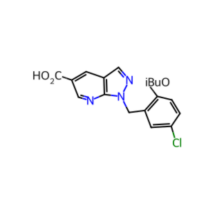 CC(C)COc1ccc(Cl)cc1Cn1ncc2cc(C(=O)O)cnc21